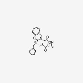 CC(=O)SC[C@H](Cc1ccccc1)C(=O)N(CC(=O)O)Cc1ccccc1